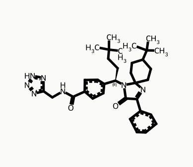 CC(C)(C)CC[C@H](c1ccc(C(=O)NCc2nn[nH]n2)cc1)N1C(=O)C(c2ccccc2)=NC12CCC(C(C)(C)C)CC2